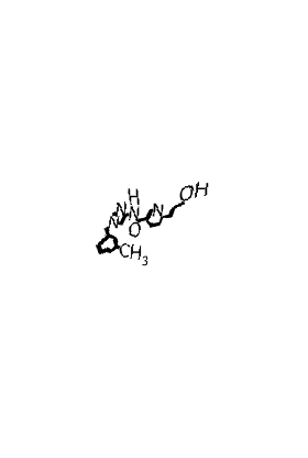 Cc1cccc(Cn2cnc(NC(=O)c3ccc(/C=C/CO)nc3)c2)c1